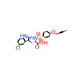 CC#CCOc1ccc(S(=O)(=O)N[C@@H](Cc2c[nH]c3ccc(Cl)cc23)C(=O)O)cc1